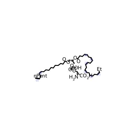 CC/C=C\C/C=C\C/C=C\C/C=C\C/C=C\C/C=C\CCC(=O)O[C@H](COC(=O)CCCCCCCCC/C=C\C/C=C\CCCCC)COP(=O)(O)OC[C@H](N)C(=O)O